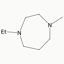 CCN1CCCN(C)CC1